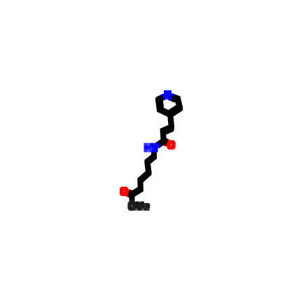 COC(=O)CCCCCNC(=O)/C=C/c1ccncc1